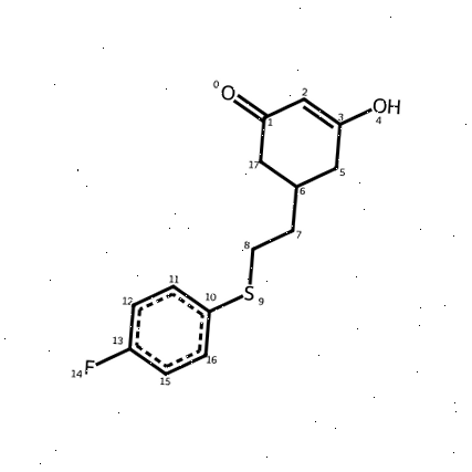 O=C1C=C(O)CC(CCSc2ccc(F)cc2)C1